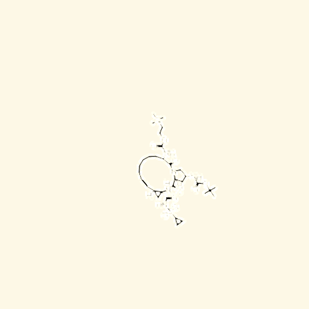 CC(C)(C)OC(=O)N[C@@H]1C[C@H]2C(=O)N[C@]3(C(=O)NS(=O)(=O)C4CC4)C[C@H]3/C=C\CCCCC[C@H](NC(=O)OCC[Si](C)(C)C)C(=O)N2C1